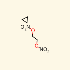 C1CC1.O=[N+]([O-])OCCO[N+](=O)[O-]